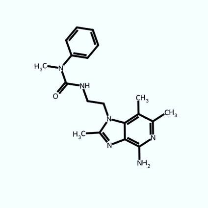 Cc1nc(N)c2nc(C)n(CCNC(=O)N(C)c3ccccc3)c2c1C